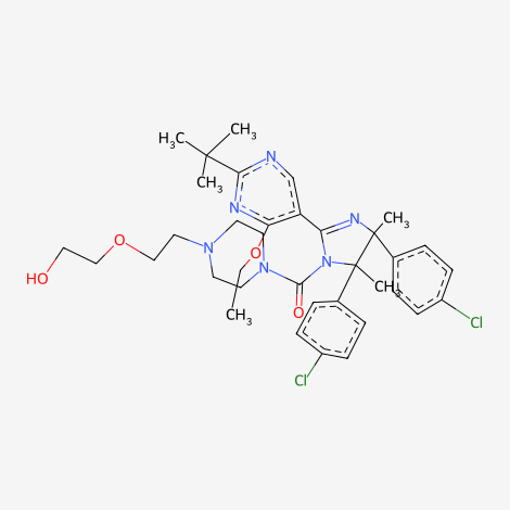 CCOc1nc(C(C)(C)C)ncc1C1=NC(C)(c2ccc(Cl)cc2)C(C)(c2ccc(Cl)cc2)N1C(=O)N1CCN(CCOCCO)CC1